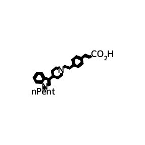 CCCCCn1cc(C2CCN(CCc3ccc(C=CC(=O)O)cc3)CC2)c2ccccc21